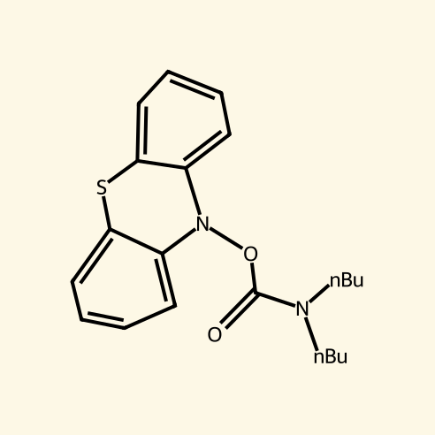 CCCCN(CCCC)C(=O)ON1c2ccccc2Sc2ccccc21